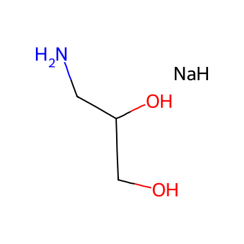 NCC(O)CO.[NaH]